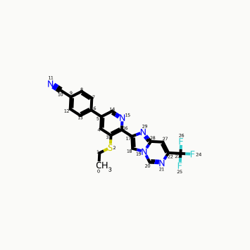 CCSc1cc(-c2ccc(C#N)cc2)cnc1-c1cn2cnc(C(F)(F)F)cc2n1